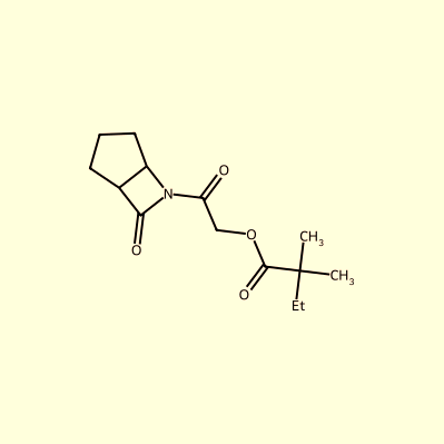 CCC(C)(C)C(=O)OCC(=O)N1C(=O)C2CCCC21